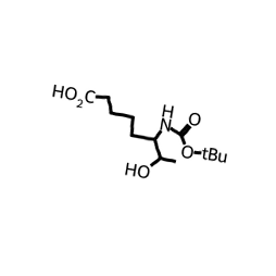 CC(O)C(CCCCC(=O)O)NC(=O)OC(C)(C)C